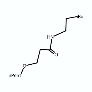 CCCCCOCCC(=O)NCCC(C)CC